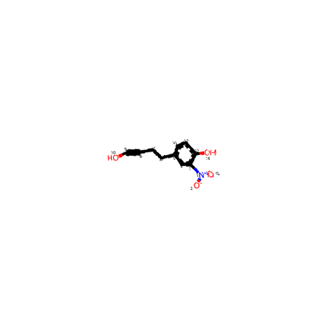 O=[N+]([O-])c1cc(CCC#CO)ccc1O